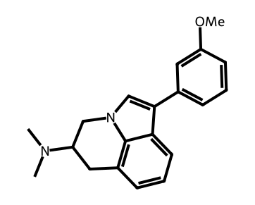 COc1cccc(-c2cn3c4c(cccc24)CC(N(C)C)C3)c1